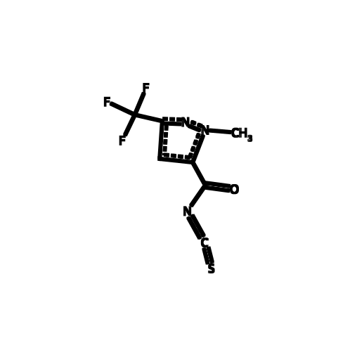 Cn1nc(C(F)(F)F)cc1C(=O)N=C=S